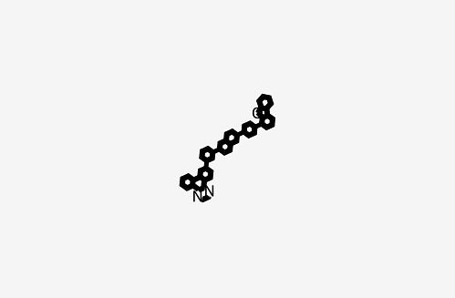 c1cc(-c2ccc3cc(-c4ccc(-c5cccc6c5oc5ccccc56)cc4)ccc3c2)cc(-c2ccc3c(c2)c2ccccc2c2nccnc32)c1